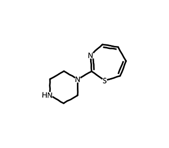 C1=CN=C(N2CCNCC2)SC=C1